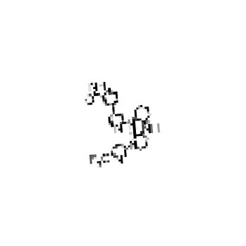 C[C@]1(N[C@@H]2CCCC[C@H]2Nc2cc(-c3cccc(C(N)=O)c3)ccn2)CCCN(c2ccc(C(F)(F)F)nc2)C1